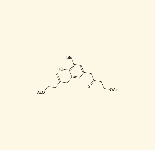 CC(=O)OCCC(=S)Cc1cc(CC(=S)CCOC(C)=O)c(O)c(C(C)(C)C)c1